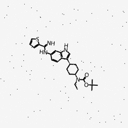 CCN(C(=O)OC(C)(C)C)[C@H]1CC[C@@H](c2c[nH]c3cc(NC(=N)c4cccs4)ccc32)CC1